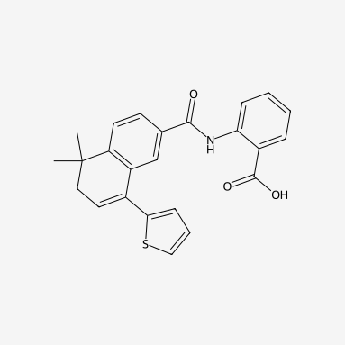 CC1(C)CC=C(c2cccs2)c2cc(C(=O)Nc3ccccc3C(=O)O)ccc21